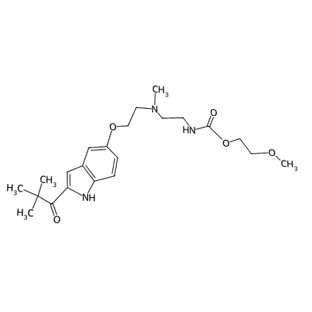 COCCOC(=O)NCCN(C)CCOc1ccc2[nH]c(C(=O)C(C)(C)C)cc2c1